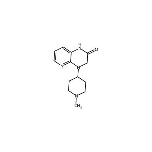 CN1CCC(N2CC(=O)Nc3cccnc32)CC1